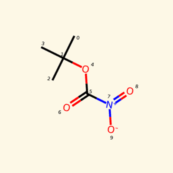 CC(C)(C)OC(=O)[N+](=O)[O-]